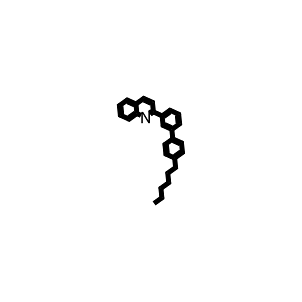 CCCCCCc1ccc(-c2cccc(-c3ccc4ccccc4n3)c2)cc1